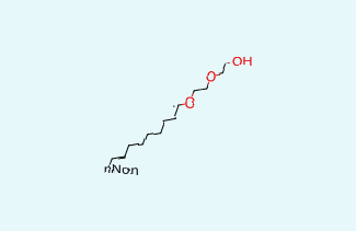 CCCCCCCCCCCCCCCCC[CH]OCCOCCO